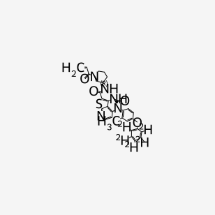 [2H]c1c([2H])c([2H])c(Oc2ccc(N3C(=O)Nc4c(C(=O)N[C@@H]5CCCN(C(=O)C=C)C5)sc5nccc3c45)c(C)c2)c([2H])c1[2H]